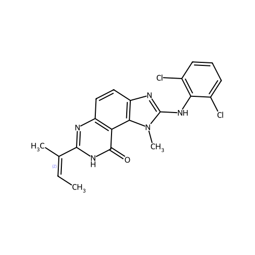 C/C=C(/C)c1nc2ccc3nc(Nc4c(Cl)cccc4Cl)n(C)c3c2c(=O)[nH]1